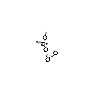 Cc1nc(-c2ccc(OCc3ccccc3OCc3ccccc3)cc2)[nH]c1-c1ccc(Cl)cc1